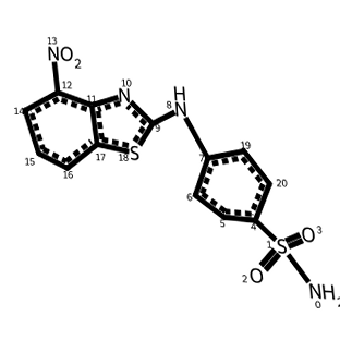 NS(=O)(=O)c1ccc(Nc2nc3c([N+](=O)[O-])cccc3s2)cc1